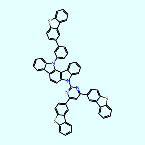 c1cc(-c2ccc3sc4ccccc4c3c2)cc(-n2c3ccccc3c3ccc4c(c5ccccc5n4-c4nc(-c5ccc6sc7ccccc7c6c5)cc(-c5ccc6sc7ccccc7c6c5)n4)c32)c1